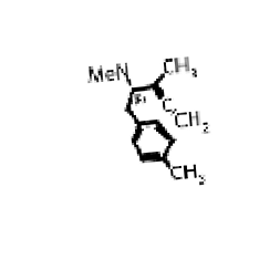 C=C=C(C)[C@@H](Cc1ccc(C)cc1)NC